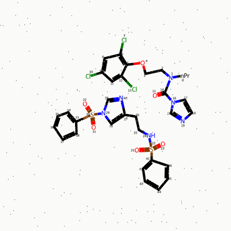 CCCN(CCOc1c(Cl)cc(Cl)cc1Cl)C(=O)n1ccnc1.O=S(=O)(NCCc1cn(S(=O)(=O)c2ccccc2)cn1)c1ccccc1